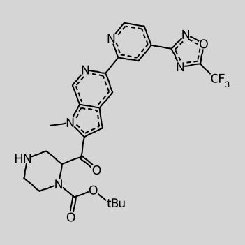 Cn1c(C(=O)C2CNCCN2C(=O)OC(C)(C)C)cc2cc(-c3cc(-c4noc(C(F)(F)F)n4)ccn3)ncc21